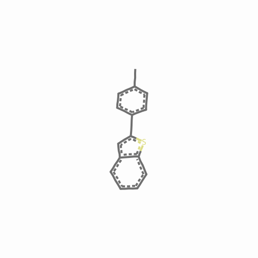 Cc1ccc(-c2cc3ccccc3s2)cc1